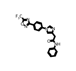 O=C(Cc1cn(-c2ccc(-c3noc(C(F)(F)F)n3)cc2)cn1)Nc1ccccc1